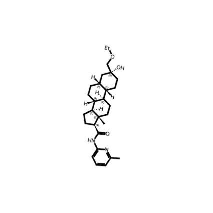 CCOC[C@@]1(O)CC[C@H]2[C@H](CC[C@@H]3[C@@H]2CC[C@]2(C)[C@@H](C(=O)Nc4cccc(C)n4)CC[C@@H]32)C1